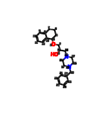 OC(COC1CCCc2ccccc21)CN1CCN(Cc2ccccc2)CC1